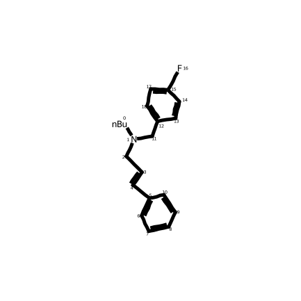 CCCCN(C/C=C/c1ccccc1)Cc1ccc(F)cc1